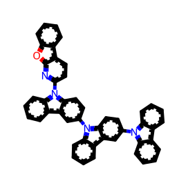 c1ccc2c(c1)oc1nc(-n3c4ccccc4c4cc(-n5c6ccccc6c6cc(-n7c8ccccc8c8ccccc87)ccc65)ccc43)ccc12